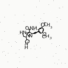 COc1cc(C#Cc2nn3c(c2C(N)=O)NCCC3C2CCNC2)cc(OC)c1